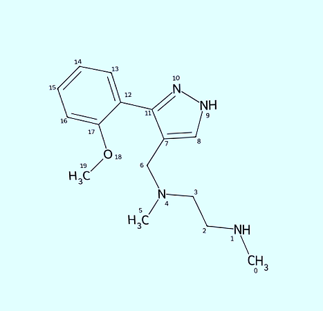 CNCCN(C)Cc1c[nH]nc1-c1ccccc1OC